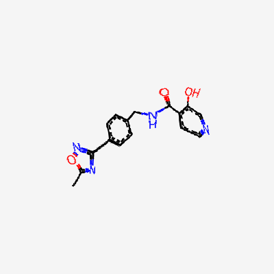 Cc1nc(-c2ccc(CNC(=O)c3ccncc3O)cc2)no1